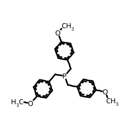 COc1ccc(CP(Cc2ccc(OC)cc2)Cc2ccc(OC)cc2)cc1